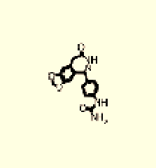 NC(=O)Nc1ccc(C2=NNC(=O)Cc3cc4c(cc32)OCO4)cc1